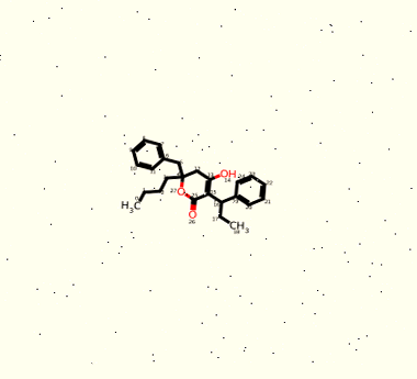 CCCCC1(Cc2ccccc2)CC(O)=C(C(CC)c2ccccc2)C(=O)O1